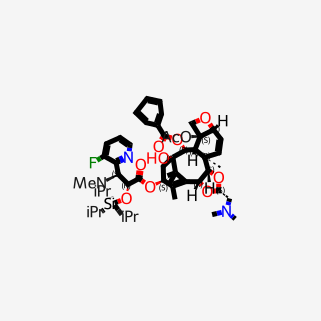 CN[C@@H](c1ncccc1F)[C@@H](O[Si](C(C)C)(C(C)C)C(C)C)C(=O)O[C@H]1C[C@@]2(O)[C@@H](OC(=O)c3ccccc3)[C@H]3[C@@](C)(C=C[C@H]4OC[C@]43OC(C)=O)[C@@H]3O[C@H](CN(C)C)O[C@@H]3C(=C1C)C2(C)C